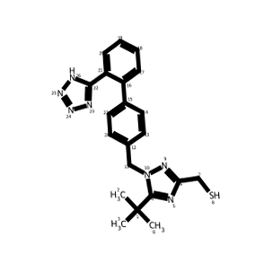 CC(C)(C)c1nc(CS)nn1Cc1ccc(-c2ccccc2-c2nnn[nH]2)cc1